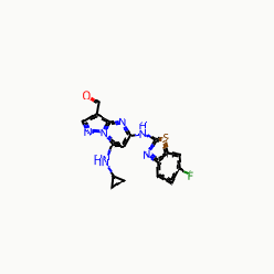 O=Cc1cnn2c(NC3CC3)cc(Nc3nc4ccc(F)cc4s3)nc12